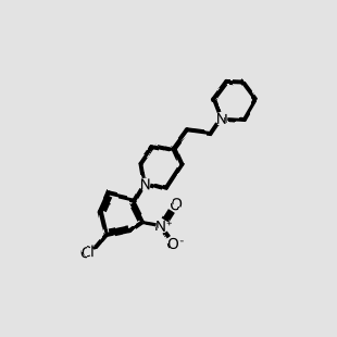 O=[N+]([O-])c1cc(Cl)ccc1N1CCC(CCN2CCCCC2)CC1